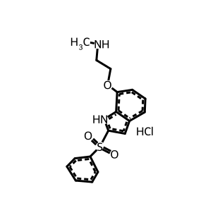 CNCCOc1cccc2cc(S(=O)(=O)c3ccccc3)[nH]c12.Cl